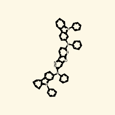 c1ccc(N(c2ccc3c4ccccc4n(-c4ccccc4)c3c2)c2cc3oc4nc(N(c5ccccc5)c5ccc6c7ccccc7n(-c7ccccc7)c6c5)ccc4c3nn2)cc1